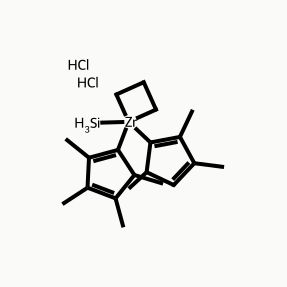 CC1=CC(C)[C]([Zr]2([SiH3])([C]3=C(C)C(C)=C(C)C3C)[CH2]C[CH2]2)=C1C.Cl.Cl